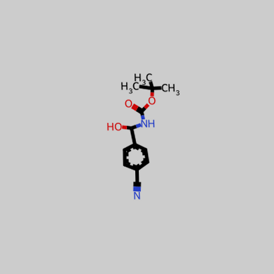 CC(C)(C)OC(=O)NC(O)c1ccc(C#N)cc1